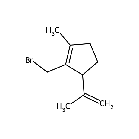 C=C(C)C1CCC(C)=C1CBr